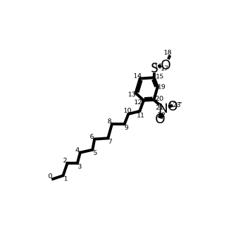 CCCCCCCCCCCCc1ccc(SOC)cc1[N+](=O)[O-]